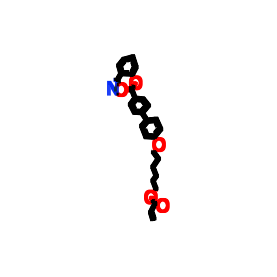 C=CC(=O)OCCCCCCOc1ccc(-c2ccc(C(=O)Oc3ccccc3C#N)cc2)cc1